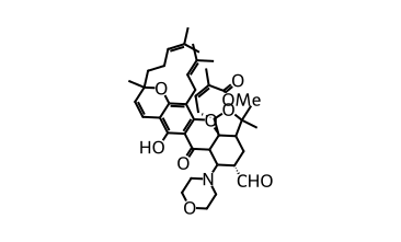 COC(=O)/C(C)=C\C[C@@H]1OC(C)(C)C2C[C@H](C=O)C(N3CCOCC3)C3C(=O)c4c(O)c5c(c(CC=C(C)C)c4O[C@]321)OC(C)(CCC=C(C)C)C=C5